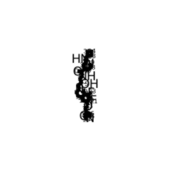 O=C(NC[C@H](O)CN1CCc2cc(OCc3cnco3)c(F)c(F)c2C1)c1ccnc(NC2CCC2)c1